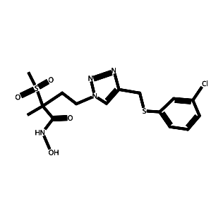 CC(CCn1cc(CSc2cccc(Cl)c2)nn1)(C(=O)NO)S(C)(=O)=O